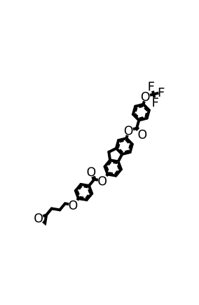 O=C(Oc1ccc2c(c1)Cc1cc(OC(=O)c3ccc(OC(F)(F)F)cc3)ccc1-2)c1ccc(OCCCC2CO2)cc1